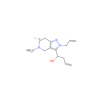 C=CCC(O)c1c2c(nn1CC=C)C[C@@H](C)N(C(=O)O)C2